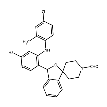 Cc1cc(Cl)ccc1Nc1cc(S)ncc1C1OC2(CCN(C=O)CC2)c2ccccc21